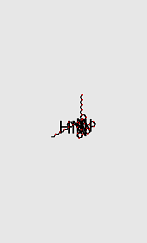 CCCCCCCCc1cccc(C2=CC(c3cccc(CCCCCCCC)c3)NC(n3c4ccccc4c4ccc5c6ccccc6n(-c6ccccc6)c5c43)=N2)c1